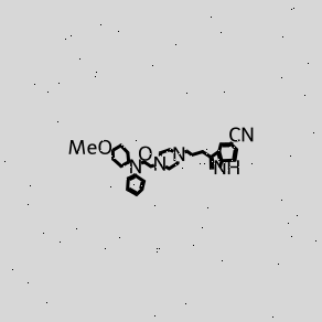 COC1CCC(N(C(=O)CN2CCN(CCCc3c[nH]c4ccc(C#N)cc34)CC2)c2ccccc2)CC1